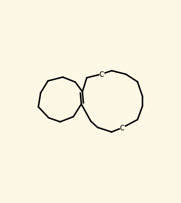 C1CCCCCCC2=C(CCCCC1)CCCCCCCC2